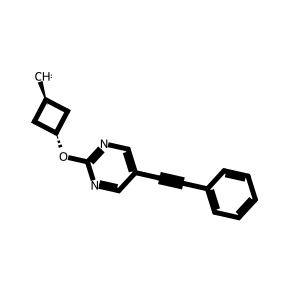 [CH][C@H]1C[C@H](Oc2ncc(C#Cc3ccccc3)cn2)C1